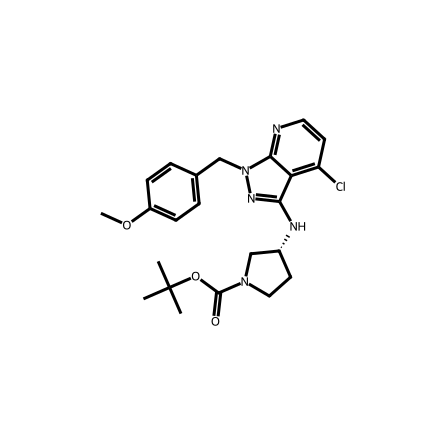 COc1ccc(Cn2nc(N[C@@H]3CCN(C(=O)OC(C)(C)C)C3)c3c(Cl)ccnc32)cc1